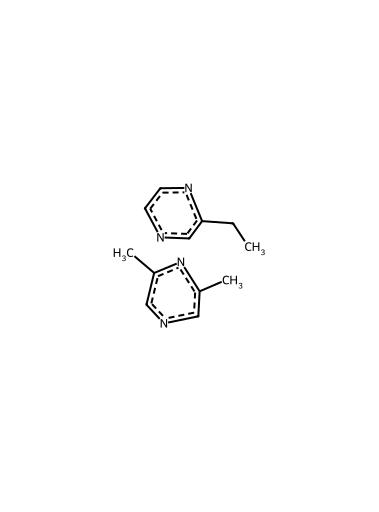 CCc1cnccn1.Cc1cncc(C)n1